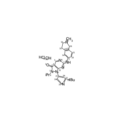 CC(C)n1c(=O)c2cnc(Nc3ccc4c(c3)CCN(C)C4)nc2n1-c1ccnc(C(C)(C)C)c1.Cl.Cl